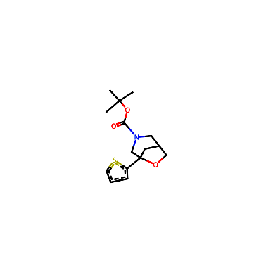 CC(C)(C)OC(=O)N1CC2COC(c3cccs3)(C2)C1